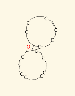 C1=CCCCCCCC(C23CCCCCCCCCCCCCCCC2O3)CCCCCCCCC1